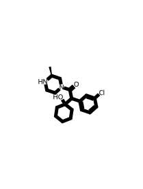 C[C@H]1CN(C(=O)C(c2cccc(Cl)c2)C2(O)CCCCC2)CCN1